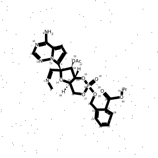 C/N=C\[C@@]1(c2ccc3c(N)ncnn23)O[C@@H]2COP(=O)(OCc3ccccc3C(=O)OC(C)C)O[C@H]2[C@H]1OC(C)=O